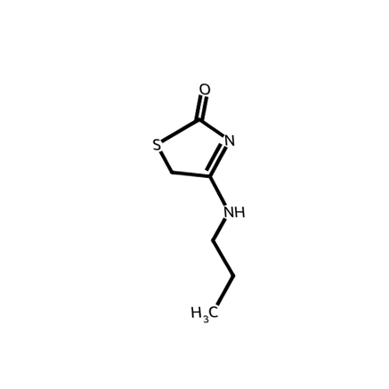 CCCNC1=NC(=O)SC1